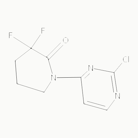 O=C1N(c2ccnc(Cl)n2)CCCC1(F)F